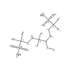 CCC(OCC(F)(F)S(=O)(=O)O)C(C)(C)OCC(F)(F)S(=O)(=O)O